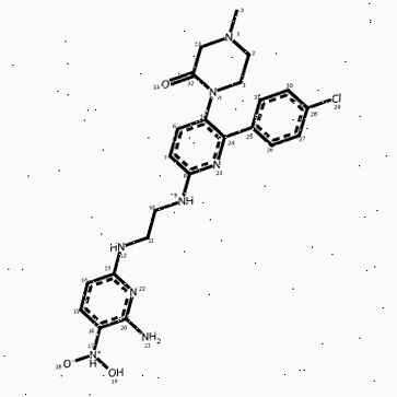 CN1CCN(c2ccc(NCCNc3ccc([NH+]([O-])O)c(N)n3)nc2-c2ccc(Cl)cc2)C(=O)C1